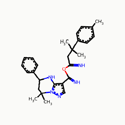 Cc1ccc(C(C)(C)CC(=N)OC(=N)c2cnn3c2NC(c2ccccc2)CC3(C)C)cc1